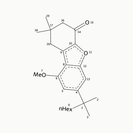 CCCCCCC(C)(C)c1cc(OC)c2c3c(oc2c1)C(=O)CC(C)(C)C3